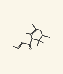 C/C=C/C(=O)C1C(C)=C(C)CC(C)C1(C)C